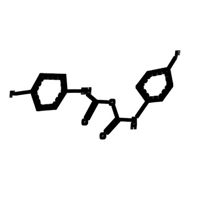 O=C(Bc1ccc(F)cc1)OC(=O)Bc1ccc(F)cc1